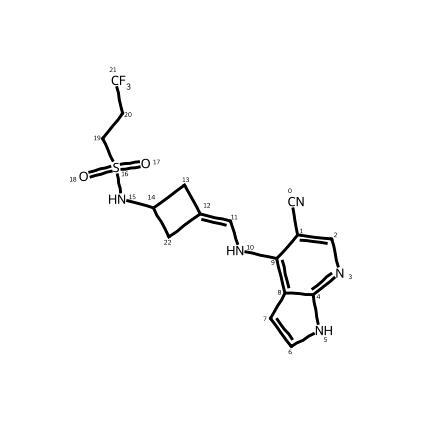 N#Cc1cnc2[nH]ccc2c1NC=C1CC(NS(=O)(=O)CCC(F)(F)F)C1